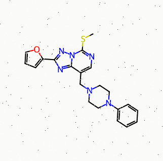 CSc1ncc(CN2CCN(c3ccccc3)CC2)c2nc(-c3ccco3)nn12